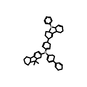 CC1(C)C2CC(N(C3=CCC(C4C=C5C6CCC=CC6N(c6ccccc6)C5CC4)C=C3)C3=CC=C(C4=CCCC=C4)CC3)=CC=C2C2CCCCC21